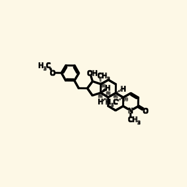 COc1cccc(CC2C[C@H]3[C@@H]4CCC5N(C)C(=O)C=C[C@]5(C)[C@@H]4CC[C@]3(C)C2O)c1